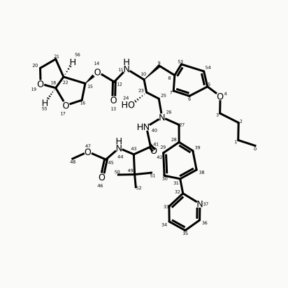 CCCCOc1ccc(C[C@H](NC(=O)O[C@H]2CO[C@H]3OCC[C@H]32)[C@@H](O)CN(Cc2ccc(-c3ccccn3)cc2)NC(=O)C(NC(=O)OC)C(C)(C)C)cc1